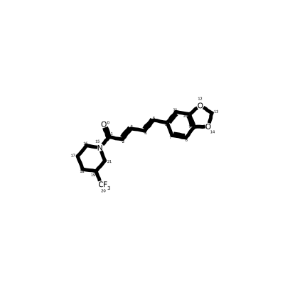 O=C(/C=C/C=C/c1ccc2c(c1)OCO2)N1CCCC(C(F)(F)F)C1